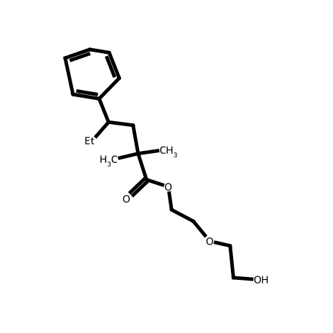 CCC(CC(C)(C)C(=O)OCCOCCO)c1ccccc1